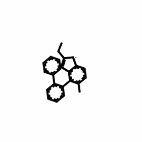 CCC1=Cc2c(ccc(C)c2-c2ccccc2-c2ccccc2)[CH]1